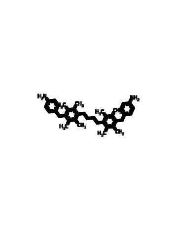 Cc1c(C)c(Cc2ccc(N)cc2)c(C)c(C)c1CCCCc1c(C)c(C)c(Cc2ccc(N)cc2)c(C)c1C